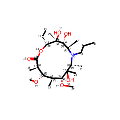 CCCN1[C@H](C)[C@@H](O)[C@](C)(O)[C@@H](CC)OC(=O)[C@H](C)[C@@H](OC)[C@H](C)[C@@H](OC)C(C)(O)[C@H]1C